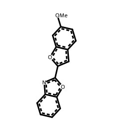 COc1ccc2cc(-c3nc4ccccc4o3)oc2c1